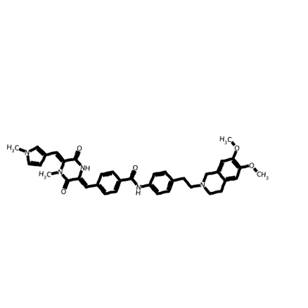 COc1cc2c(cc1OC)CN(CCc1ccc(NC(=O)c3ccc(/C=c4\[nH]c(=O)/c(=C/c5ccn(C)c5)n(C)c4=O)cc3)cc1)CC2